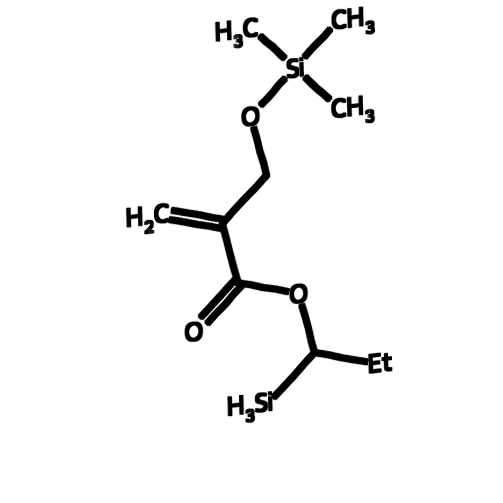 C=C(CO[Si](C)(C)C)C(=O)OC([SiH3])CC